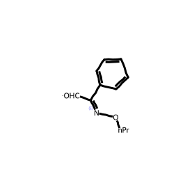 CCCO/N=C(/[C]=O)c1ccccc1